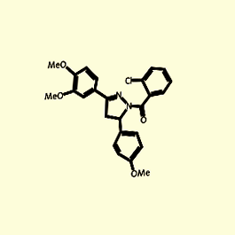 COc1ccc(C2CC(c3ccc(OC)c(OC)c3)=NN2C(=O)c2ccccc2Cl)cc1